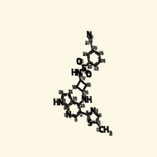 Cc1cnc(-c2cnc3[nH]ccc3c2NC2CC(NS(=O)(=O)c3cccc(C#N)c3)C2)s1